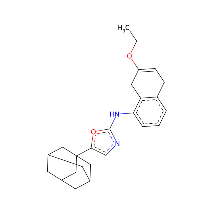 CCOC1=CCc2cccc(Nc3ncc(C45CC6CC(CC(C6)C4)C5)o3)c2C1